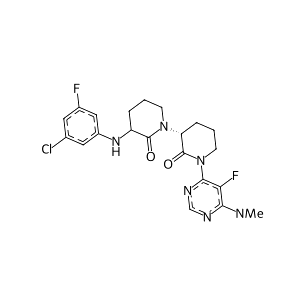 CNc1ncnc(N2CCC[C@@H](N3CCCC(Nc4cc(F)cc(Cl)c4)C3=O)C2=O)c1F